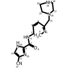 C/N=C(\C=C/CNC(=O)c1nc(C#N)c[nH]1)CN1CCNCC1